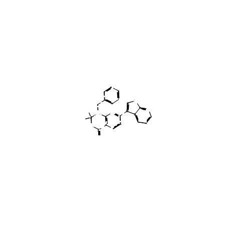 CC1(C)NC(=O)c2ccc(-c3c[nH]c4ncccc34)nc2N1Cc1ccccc1